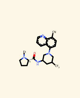 CCN1CCC[C@H]1C(=O)NC1CC(C(F)(F)F)CN(c2ccc(C#N)c3ncccc23)C1